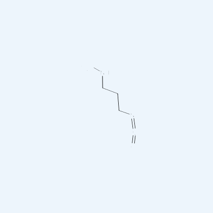 O=C=NCCCNC(=O)O